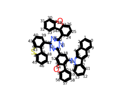 c1ccc2cc3c(cc2c1)c1ccccc1n3-c1cc(-c2nc(-c3cccc4oc5ccccc5c34)nc(-c3cccc4sc5ccccc5c34)n2)cc2oc3ccccc3c12